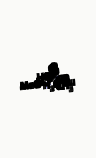 CCCCC(C)(C)[C@@H](/C=C/[C@@H]1[C@@H](CC/C=C\CCC(=O)OC)[C@@H](O)C[C@H]1OC1CCCCO1)OC1CCCCO1